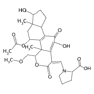 COCC1OC(=O)C(=CN2CCCC2C(=O)O)C2=C(O)C(=O)C3=C(C(OC(C)=O)CC4(C)C(O)CCC34)C21C